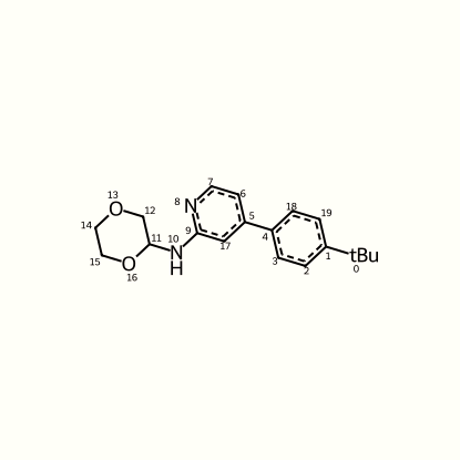 CC(C)(C)c1ccc(-c2ccnc(NC3COCCO3)c2)cc1